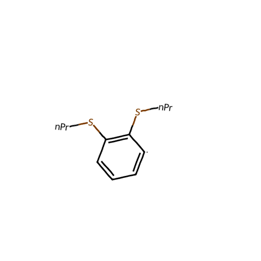 CCCSc1[c]cccc1SCCC